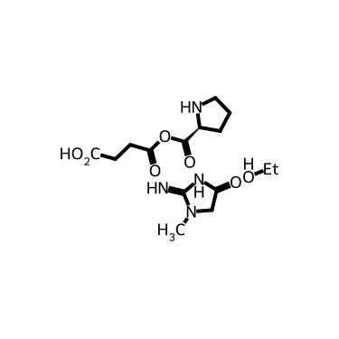 CCO.CN1CC(=O)NC1=N.O=C(O)CCC(=O)OC(=O)[C@@H]1CCCN1